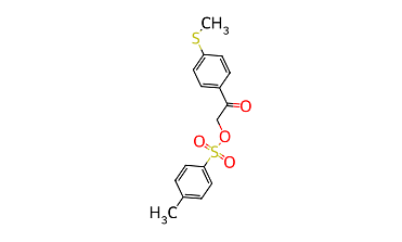 CSc1ccc(C(=O)COS(=O)(=O)c2ccc(C)cc2)cc1